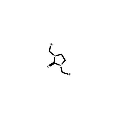 CC(C)CN1CCN(CC(C)C)C1=O